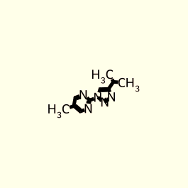 Cc1cnc(-n2cc(C(C)C)nn2)nc1